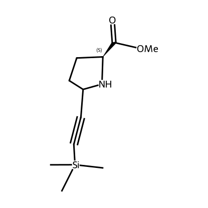 COC(=O)[C@@H]1CCC(C#C[Si](C)(C)C)N1